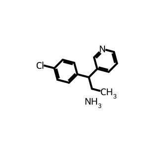 CCC(c1ccc(Cl)cc1)c1cccnc1.N